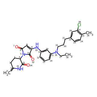 C=C1CCC(N2C(=O)C=C(Nc3cccc(N(CC)CCCc4ccc(C)c(Cl)c4)c3)C2=O)C(=O)N1